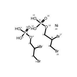 O=P(O)(O)OCC(Br)CBr.O=P(O)(O)OCC(Br)CBr.[Ni]